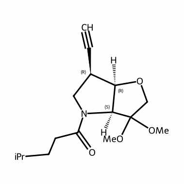 C#C[C@@H]1CN(C(=O)CCC(C)C)[C@H]2[C@@H]1OCC2(OC)OC